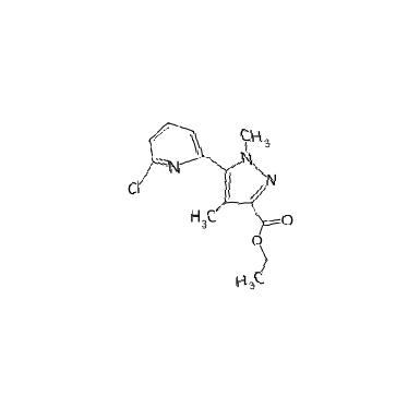 CCOC(=O)c1nn(C)c(-c2cccc(Cl)n2)c1C